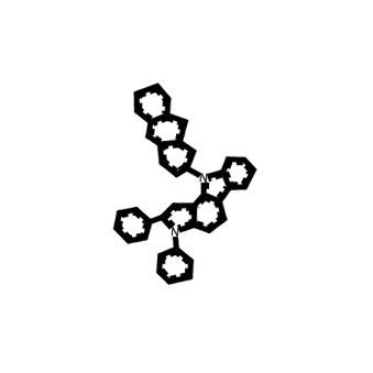 c1ccc(-c2cc3c(ccc4c5ccccc5n(-c5ccc6cc7ccccc7cc6c5)c43)n2-c2ccccc2)cc1